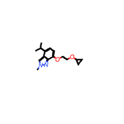 CC(C)c1ccc(OCCOC2CC2)c2nn(C)cc12